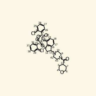 O=C(C1CCOCC1)N1CCN(C2CCc3c2cccc3N(S(=O)(=O)c2ccccc2Cl)S(=O)(=O)c2ccccc2Cl)CC1